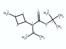 CC1CC(N(C(=O)OC(C)(C)C)C(C)C)C1